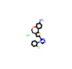 Cl.Nc1ccc2c(c1)OCCc1cc(-c3nncn3-c3ccccc3Cl)sc1-2